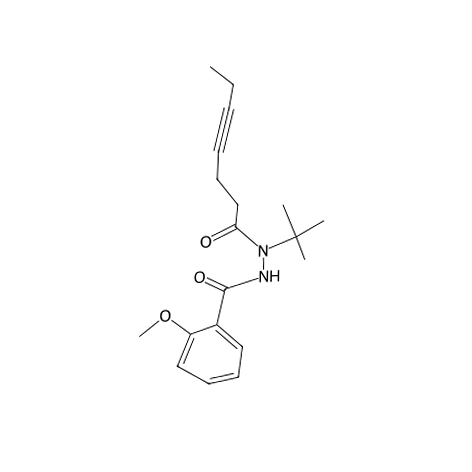 CCC#CCCC(=O)N(NC(=O)c1ccccc1OC)C(C)(C)C